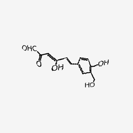 O=CC(=O)/C=C(O)/C=C/c1ccc(O)c(CO)c1